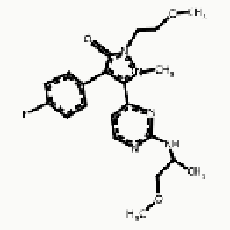 COCCn1c(=O)c(-c2ccc(F)cc2)c(-c2ccnc(NC(C)COC)n2)n1C